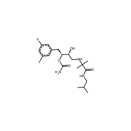 CC(C)CNC(=O)C(C)(C)NC[C@H](O)[C@H](Cc1cc(F)cc(F)c1)OC(N)=O